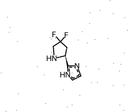 FC1(F)CN[C@H](c2ncc[nH]2)C1